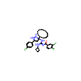 O=C(/N=C(/NC1CCC1)NC1(C2CCCCCCCCC2)CC(c2ccc(F)cc2)NN1)c1ccc(F)c(F)c1